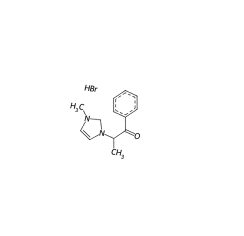 Br.CC(C(=O)c1ccccc1)N1C=CN(C)C1